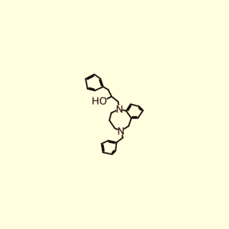 OC(Cc1ccccc1)CN1CCCN(Cc2ccccc2)Cc2ccccc21